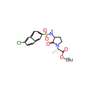 C[C@@H](C(=O)OC(C)(C)C)N1CC[C@H](N(C)S(=O)(=O)c2ccc3cc(Cl)ccc3c2)C1=O